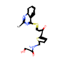 CCc1nc(SCC(=O)c2ccc(CNC(=O)CO)s2)c2ccccc2n1